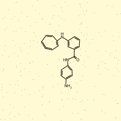 Nc1ccc(NC(=O)c2cccc(NC3=CC=C=CC=C3)c2)cc1